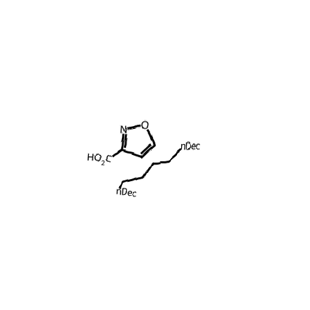 CCCCCCCCCCCCCCCCCCCCCCCC.O=C(O)c1ccon1